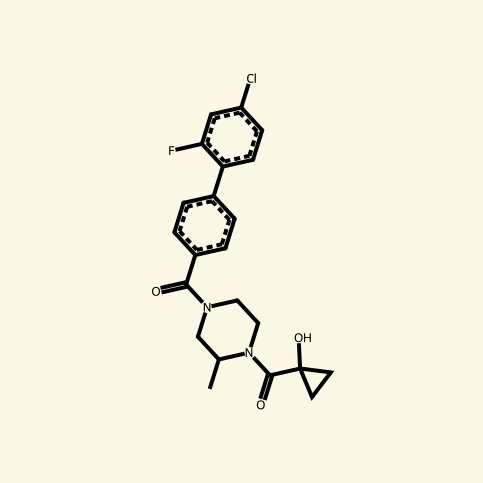 CC1CN(C(=O)c2ccc(-c3ccc(Cl)cc3F)cc2)CCN1C(=O)C1(O)CC1